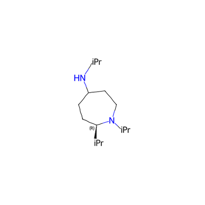 CC(C)NC1CC[C@H](C(C)C)N(C(C)C)CC1